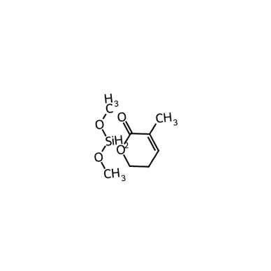 CC1=CCCOC1=O.CO[SiH2]OC